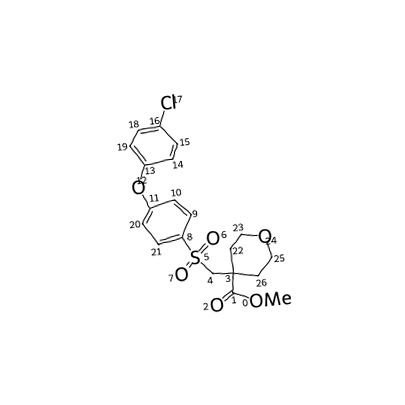 COC(=O)C1(CS(=O)(=O)c2ccc(Oc3ccc(Cl)cc3)cc2)CCOCC1